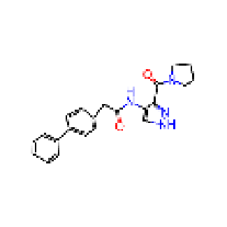 O=C(Cc1ccc(-c2ccccc2)cc1)Nc1c[nH]nc1C(=O)N1CCCC1